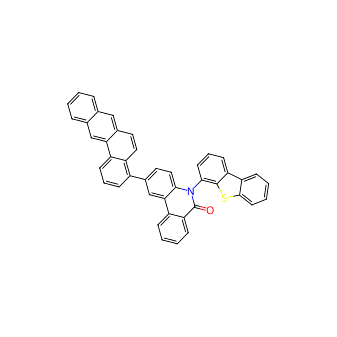 O=c1c2ccccc2c2cc(-c3cccc4c3ccc3cc5ccccc5cc34)ccc2n1-c1cccc2c1sc1ccccc12